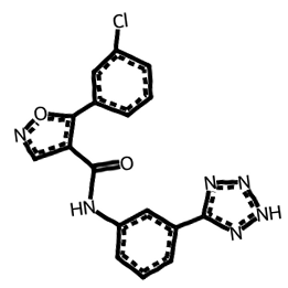 O=C(Nc1cccc(-c2nn[nH]n2)c1)c1cnoc1-c1cccc(Cl)c1